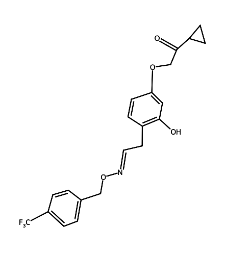 O=C(COc1ccc(CC=NOCc2ccc(C(F)(F)F)cc2)c(O)c1)C1CC1